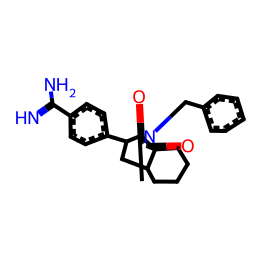 N=C(N)c1ccc(C2CC3CCCCC34C(=O)N(Cc3ccccc3)C(=O)C24)cc1